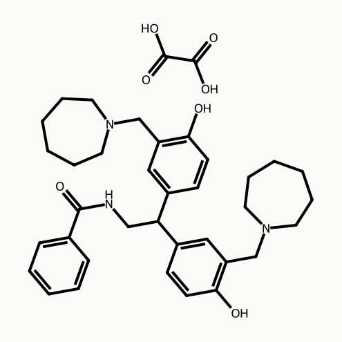 O=C(NCC(c1ccc(O)c(CN2CCCCCC2)c1)c1ccc(O)c(CN2CCCCCC2)c1)c1ccccc1.O=C(O)C(=O)O